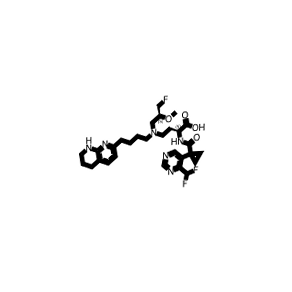 CO[C@H](CF)CN(CCCCc1ccc2c(n1)NCCC2)CC[C@H](NC(=O)C1(c2cncnc2C(F)F)CC1)C(=O)O